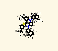 CC(C)(C)c1ccc2c(c1)B1c3sc4ccc(C(C)(C)C)cc4c3N(c3ccc4c(c3)C(C)(C)CCC4(C)C)c3cccc(c31)N2c1ccc2c(c1)C(C)(C)CCC2(C)C